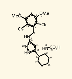 COc1cc(OC)c(Cl)c(CNc2cc([C@@H]3CCCC[C@H]3NC(=O)O)[nH]n2)c1Cl